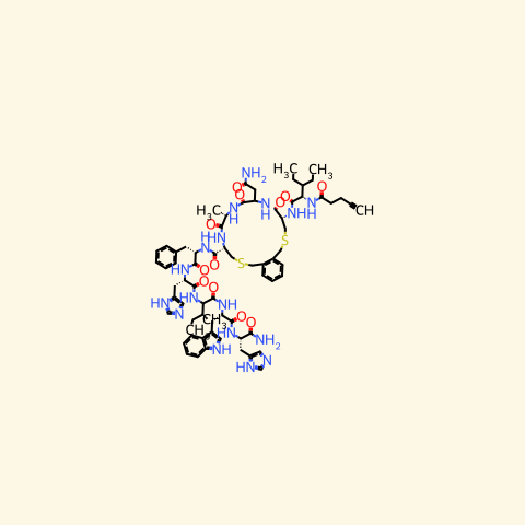 C#CCCC(=O)N[C@H](C(=O)N[C@@H]1CSCc2ccccc2CSC[C@H](C(=O)N[C@@H](Cc2ccccc2)C(=O)N[C@@H](Cc2cnc[nH]2)C(=O)NC(C(=O)N[C@@H](Cc2c[nH]c3ccccc23)C(=O)N[C@@H](Cc2cnc[nH]2)C(N)=O)[C@@H](C)CC)NC(=O)[C@H](C)NC(=O)C(CC(N)=O)NC1=O)C(CC)CC